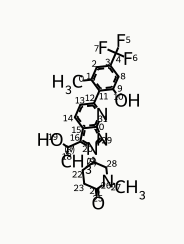 Cc1cc(C(F)(F)F)cc(O)c1-c1ccc2c([C@@H](C)O)n([C@H]3CCC(=O)N(C)C3)nc2n1